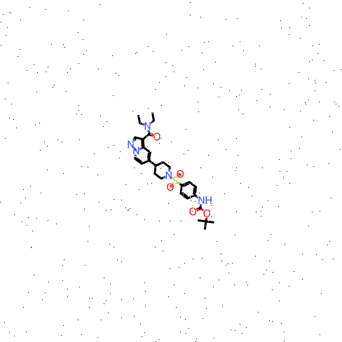 CCN(CC)C(=O)c1cnn2ccc(C3CCN(S(=O)(=O)c4ccc(NC(=O)OC(C)(C)C)cc4)CC3)cc12